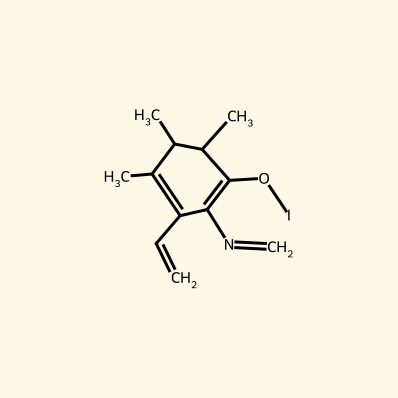 C=CC1=C(C)C(C)C(C)C(OI)=C1N=C